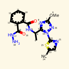 COc1nc(C(C)NC(=O)c2ccccc2C(=O)NN)n(-c2ncc(C#N)s2)n1